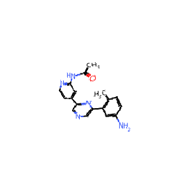 CC(=O)Nc1cc(-c2cncc(-c3cc(N)ccc3C)n2)ccn1